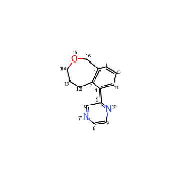 c1cc2c(c(-c3cnccn3)c1)CCCOC2